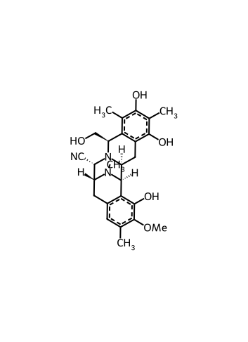 COc1c(C)cc2c(c1O)[C@@H]1[C@@H]3Cc4c(O)c(C)c(O)c(C)c4[C@H](CO)N3[C@@H](C#N)[C@@H](C2)N1C